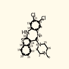 CN1CCN(C2=Nc3cc(Cl)c(Cl)cc3Nc3sc4ccccc4c32)CC1